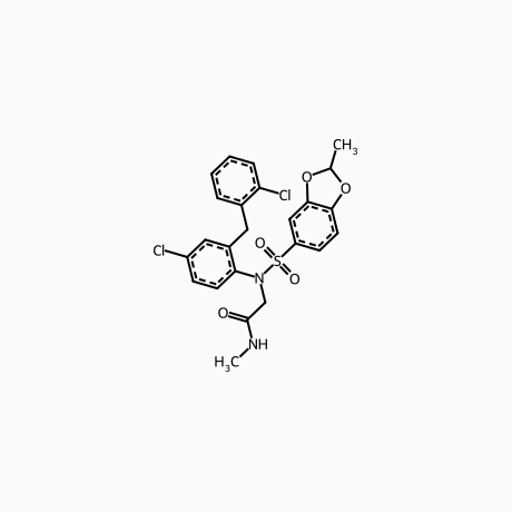 CNC(=O)CN(c1ccc(Cl)cc1Cc1ccccc1Cl)S(=O)(=O)c1ccc2c(c1)OC(C)O2